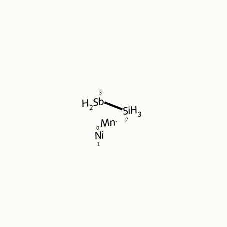 [Mn].[Ni].[SiH3][SbH2]